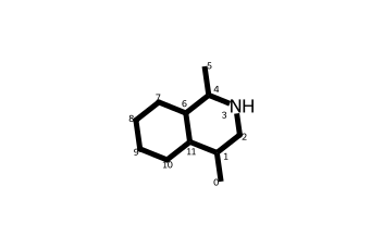 CC1CNC(C)C2CCCCC12